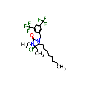 CCCCCCCCC1N(Cc2cc(C(F)(F)F)cc(C(F)(F)F)c2)C(=O)N(C)C1(Cl)CC